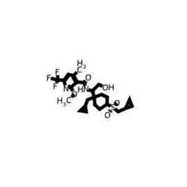 COc1nc(C(F)(F)F)cc(C)c1C(=O)NC(CO)C1(CC2CC2)CCC(S(=O)(=O)CC2CC2)CC1